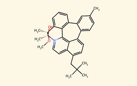 CO[C@H](C)c1cccc2c1-c1c3c(ccc(CC(C)(C)C)c3cc[n+]1[C@H](C)O)-c1ccc(C)cc1-2